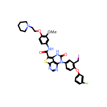 COc1cc(NC(=O)c2sc3ncnc4c3c2NC(=O)N4c2ccc(Oc3cccc(F)c3)c(CI)c2)ccc1OCCN1CCCCC1